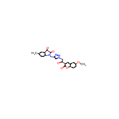 COc1ccc2oc(=O)c(C(=O)Cn3cc(CN4C(=O)C(=O)c5cc(C)ccc54)nn3)cc2c1